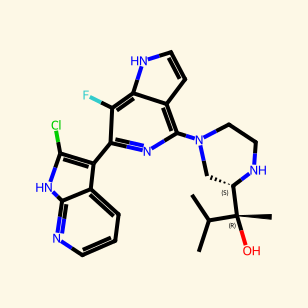 CC(C)[C@@](C)(O)[C@@H]1CN(c2nc(-c3c(Cl)[nH]c4ncccc34)c(F)c3[nH]ccc23)CCN1